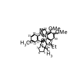 CCn1c([C@]2(C)CCCN2C(=O)c2cc(C)ccc2-n2nccn2)nc2cc(OC)c(OC)cc21